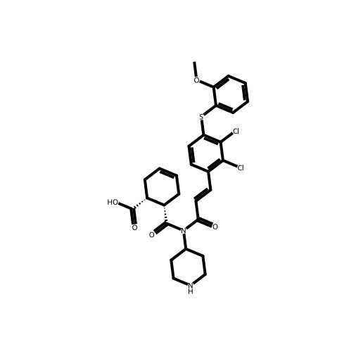 COc1ccccc1Sc1ccc(/C=C/C(=O)N(C(=O)[C@H]2CC=CC[C@H]2C(=O)O)C2CCNCC2)c(Cl)c1Cl